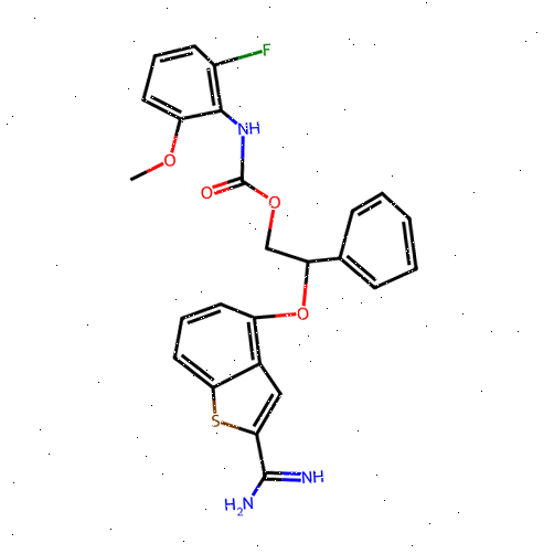 COc1cccc(F)c1NC(=O)OCC(Oc1cccc2sc(C(=N)N)cc12)c1ccccc1